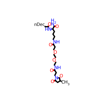 CCCCCCCCCCCC(=O)NC(CCCCNC(=O)CCOCCOCCNC(=O)CCN1C(=O)CC(C)C1=O)C(N)=O